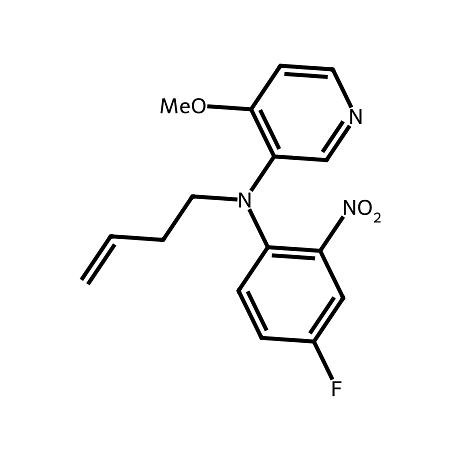 C=CCCN(c1cnccc1OC)c1ccc(F)cc1[N+](=O)[O-]